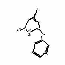 SC1=CN(Nc2ccccc2)NN(S)C1